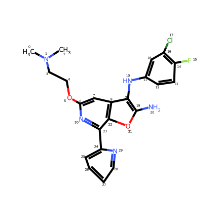 CN(C)CCOc1cc2c(Nc3ccc(F)c(Cl)c3)c(N)oc2c(-c2ccccn2)n1